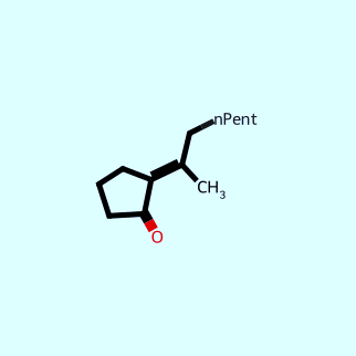 CCCCCC/C(C)=C1\CCCC1=O